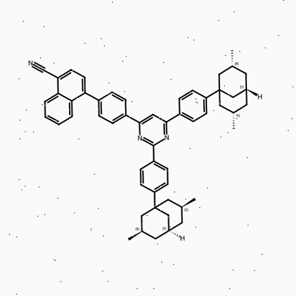 C[C@@H]1C[C@@H]2C[C@H](C)CC(c3ccc(-c4cc(-c5ccc(-c6ccc(C#N)c7ccccc67)cc5)nc(-c5ccc(C67C[C@H](C)C[C@H](C[C@H](C)C6)C7)cc5)n4)cc3)(C1)C2